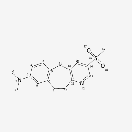 CN(C)c1ccc2c(c1)CCc1ncc(S(C)(=O)=O)cc1C2